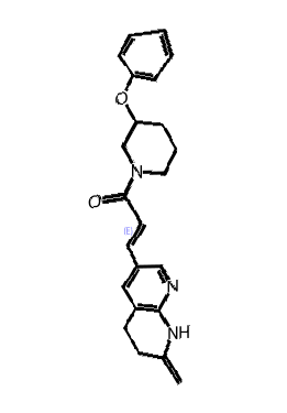 C=C1CCc2cc(/C=C/C(=O)N3CCCC(Oc4ccccc4)C3)cnc2N1